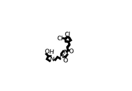 O=C(C=Cc1ccc(Cl)c(Cl)c1)N1CCN(CCCN2CCC(CO)C2)C(=O)C1